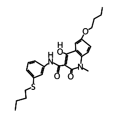 CCCCOc1ccc2c(c1)c(O)c(C(=O)Nc1cccc(SCCCC)c1)c(=O)n2C